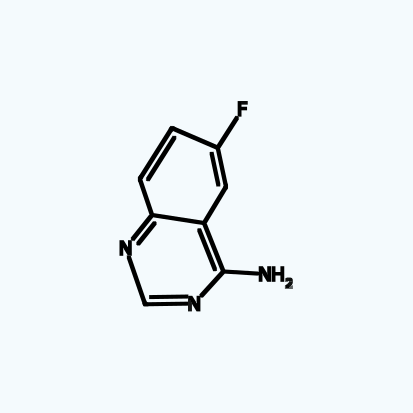 Nc1ncnc2ccc(F)cc12